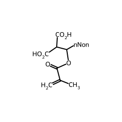 C=C(C)C(=O)OC(CCCCCCCCC)C(C(=O)O)C(=O)O